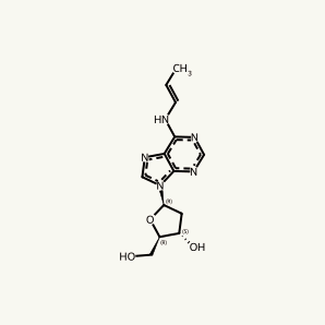 CC=CNc1ncnc2c1ncn2[C@H]1C[C@H](O)[C@@H](CO)O1